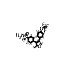 Cc1onc(-c2ccc(OC(F)(F)F)cc2)c1-c1ccc(S(N)(=O)=O)cc1